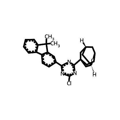 CC1(C)c2ccccc2-c2ccc(-c3nc(Cl)nc(C45CCC6C[C@H](C[C@@H](C6)C4)C5)n3)cc21